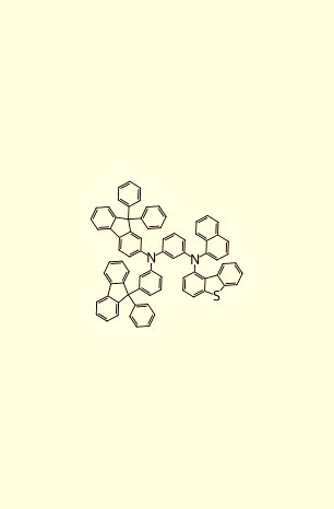 c1ccc(C2(c3cccc(N(c4cccc(N(c5cccc6ccccc56)c5cccc6sc7ccccc7c56)c4)c4ccc5c(c4)C(c4ccccc4)(c4ccccc4)c4ccccc4-5)c3)c3ccccc3-c3ccccc32)cc1